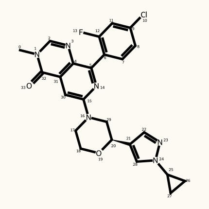 Cn1cnc2c(-c3ccc(Cl)cc3F)nc(N3CCO[C@H](c4cnn(C5CC5)c4)C3)cc2c1=O